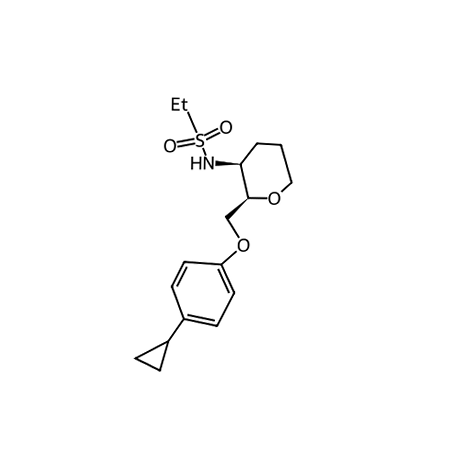 CCS(=O)(=O)N[C@H]1CCCO[C@H]1COc1ccc(C2CC2)cc1